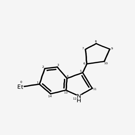 CCc1ccc2c(C3CCCC3)c[nH]c2c1